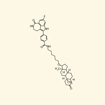 C[C@]12CCC(=O)C[C@@H]1CC[C@@H]1[C@@H]2CC[C@]2(C)[C@@H](OCCCCCCNC(=O)c3ccc(-c4[nH]c5cc(F)cc6c5c4CCNC6=O)cc3)CC[C@@H]12